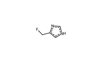 FCc1c[nH]cn1